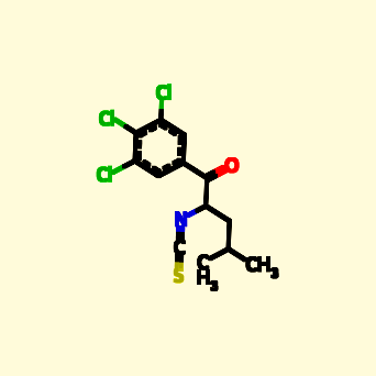 CC(C)CC(N=C=S)C(=O)c1cc(Cl)c(Cl)c(Cl)c1